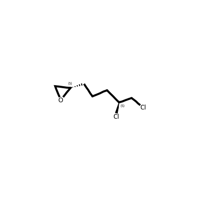 ClC[C@@H](Cl)CCC[C@H]1CO1